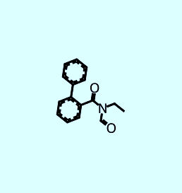 CCN(C=O)C(=O)c1ccccc1-c1ccccc1